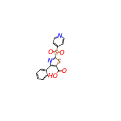 O=C(O)c1sc(S(=O)(=O)c2ccncc2)nc1-c1ccccc1